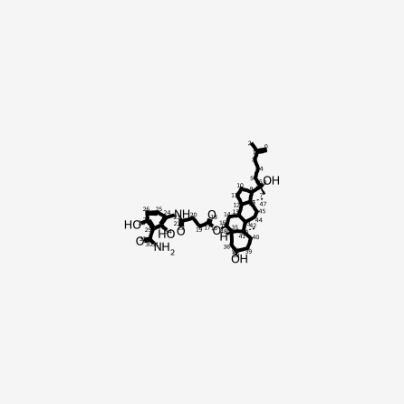 C=C(C)CCC[C@](C)(O)C1CCC2C3C[C@H](OC(=O)CCC(=O)Nc4ccc(O)c(C(N)=O)c4O)[C@H]4C[C@@H](O)CC[C@]4(C)C3CC[C@@]21C